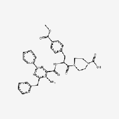 COC(=O)c1ccc(CC(NC(=O)c2nc(-c3ccccc3)nc(Cc3ccccc3)c2N)C(=O)N2CCN(C(=O)O)CC2)cc1